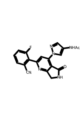 CC(=O)Nc1cnn(-c2cc(-c3c(F)cccc3C#N)nc3c2C(=O)NC3)c1